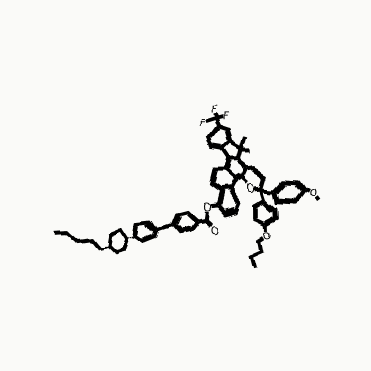 CCCCC[C@H]1CC[C@H](c2ccc(-c3ccc(C(=O)Oc4cccc5c4ccc4c6c(c7c(c45)OC(c4ccc(OC)cc4)(c4ccc(OCCCC)cc4)C=C7)C(C)(C)c4cc(C(F)(F)F)ccc4-6)cc3)cc2)CC1